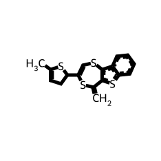 C=C1SC(C2CC=C(C)S2)=CSc2c1sc1ccccc21